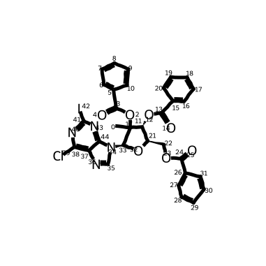 CC1(OC(=O)c2ccccc2)[C@H](OC(=O)c2ccccc2)[C@@H](COC(=O)c2ccccc2)O[C@H]1n1cnc2c(Cl)nc(I)nc21